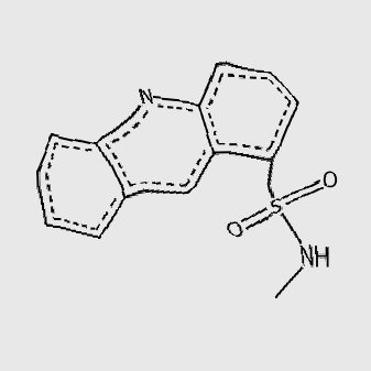 CNS(=O)(=O)c1cccc2nc3ccccc3cc12